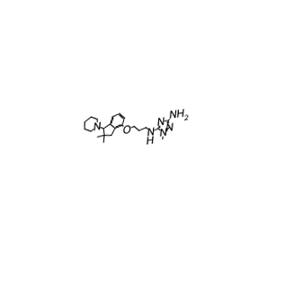 Cn1nc(N)nc1NCCCOc1cccc2c1CC(C)(C)C2N1CCCCC1